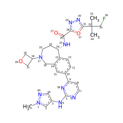 Cn1cc(Nc2nccc(-c3ccc4c(c3)CN(C3COC3)CC[C@@H]4NC(=O)c3nnc(C(C)(C)CF)o3)n2)cn1